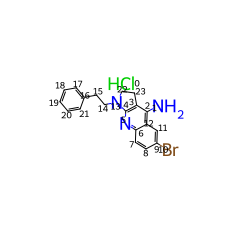 Cl.Nc1c2c(nc3ccc(Br)cc13)N(CCc1ccccc1)CC2